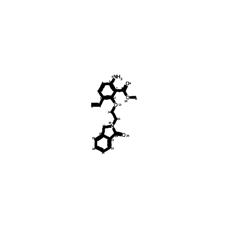 C=Cc1ccc(N)c(C(=O)OC)c1OCCN1Cc2ccccc2C1=O